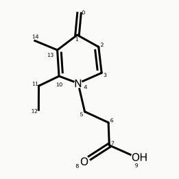 C=C1C=CN(CCC(=O)O)C(CC)=C1C